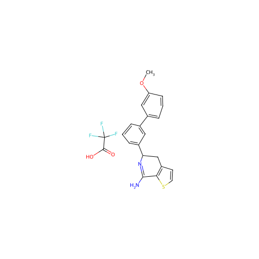 COc1cccc(-c2cccc(C3Cc4ccsc4C(N)=N3)c2)c1.O=C(O)C(F)(F)F